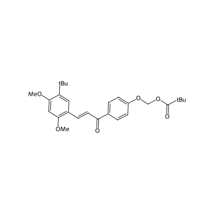 COc1cc(OC)c(C(C)(C)C)cc1/C=C/C(=O)c1ccc(OCOC(=O)C(C)(C)C)cc1